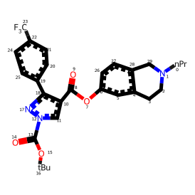 CCCN1CCc2cc(OC(=O)c3cn(C(=O)OC(C)(C)C)nc3-c3ccc(C(F)(F)F)cc3)ccc2C1